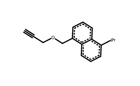 C#CCOCc1cccc2c(C(C)C)cccc12